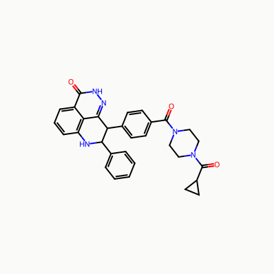 O=C(c1ccc(C2c3n[nH]c(=O)c4cccc(c34)NC2c2ccccc2)cc1)N1CCN(C(=O)C2CC2)CC1